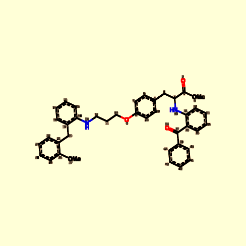 COC(=O)C(Cc1ccc(OCCCNc2ccccc2Cc2ccccc2OC)cc1)Nc1ccccc1C(=O)c1ccccc1